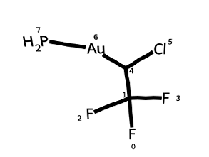 FC(F)(F)[CH](Cl)[Au][PH2]